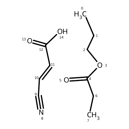 CCCOC(=O)CC.N#CC=CC(=O)O